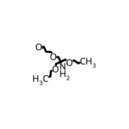 CCCOCC(N)(COCCC)COCCC=O